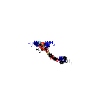 BP(=O)(OC[C@H]1O[C@@H](n2cnc3c(N)ncnc32)[C@H](F)[C@@H]1OP=O)O[C@H]1[C@@H](F)[C@H](n2cnc3c(N)ncnc32)O[C@@H]1COCSCc1ccc(OC(=O)c2ccc(OCCn3nnc4c3-c3ccccc3CN(C)c3ccccc3-4)cc2)cc1